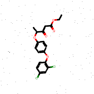 CCOC(=O)CC(=O)C(C)Oc1ccc(Oc2ccc(Cl)cc2Cl)cc1